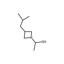 CC(C)CC1CN(C(C)S)C1